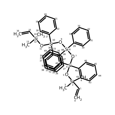 C=C[Si](C)(C)O[Si](O[Si](O[Si](O[Si](C)(C)C=C)(c1ccccc1)c1ccccc1)(c1ccccc1)c1ccccc1)(c1ccccc1)c1ccccc1